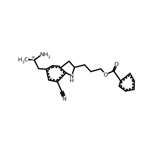 C[C@@H](N)Cc1cc(C#N)c2c(c1)CC(CCCOC(=O)c1ccccc1)N2